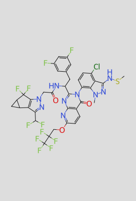 CSNc1nn(C)c2c(-n3c(C(Cc4cc(F)cc(F)c4)NC(=O)Cn4nc(C(F)F)c5c4C(F)(F)C4CC54)nc4nc(OCC(F)(F)C(F)(F)F)ccc4c3=O)ccc(Cl)c12